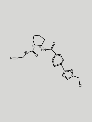 N#CCNC(=O)[C@@H]1CCCC[C@@H]1NC(=O)c1ccc(-c2nc(CCl)cs2)cc1